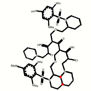 CCC(CN1CCCCC1)C(=N)C(COCC1CCCCN1S(=O)(=O)c1c(NC)cc(NC)cc1NC)C(=O)C(COCC1CCCCN1S(=O)(=O)c1c(NC)cc(NC)cc1NC)C(=N)C(CC)CN1CCCCC1